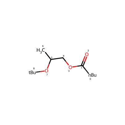 CCCCC(=O)OCC(C)OC(C)(C)C